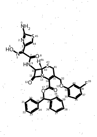 Nc1nc(C(=NO)C(=O)NC2C(=O)N3C(C(=O)OC(c4ccccc4)c4ccccc4)=C(COc4cccc(F)c4)CS[C@@H]23)cs1